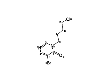 O=c1c(Br)cncn1CCCCCl